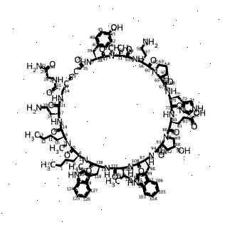 CCCC[C@H]1C(=O)N(C)[C@@H](CCCC)C(=O)N[C@@H](CCN)C(=O)N[C@H](C(=O)NCC(N)=O)CSCC(=O)N[C@@H](Cc2ccc(O)cc2)C(=O)N(C)[C@@H](C)C(=O)N[C@@H](CCN)C(=O)N2CCC[C@H]2C(=O)N[C@@H](Cc2c[nH]cn2)C(=O)N[C@@H](CCC(=O)O)C(=O)N2C[C@H](O)C[C@H]2C(=O)N[C@@H](Cc2c[nH]c3ccccc23)C(=O)N[C@@H](C(C)C)C(=O)N[C@@H](Cc2c[nH]c3ccccc23)C(=O)N1C